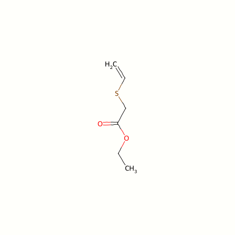 C=CSCC(=O)OCC